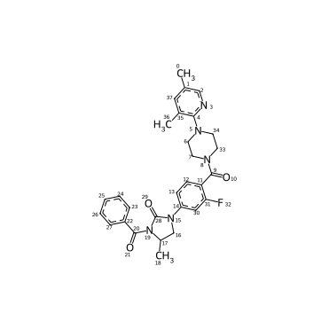 Cc1cnc(N2CCN(C(=O)c3ccc(N4CC(C)N(C(=O)c5ccccc5)C4=O)cc3F)CC2)c(C)c1